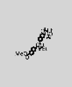 C=C(C)C(=O)OC(CC)C(C)Oc1ccc2cc(C(=O)OC(CC)C(C)Oc3ccc4cc(C(=O)OC)ccc4c3)ccc2c1